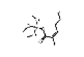 [CH2]CCC=C(C)C(=O)O[Si](OC)(OC)OC